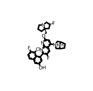 Oc1cc(-c2nc3nc(OC[C@@]45CCCN4C[C@H](F)C5)cc(N4CC5CCC(C4)N5)c3cc2F)c2c(Cl)c(F)ccc2c1